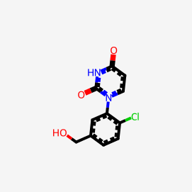 O=c1ccn(-c2cc(CO)ccc2Cl)c(=O)[nH]1